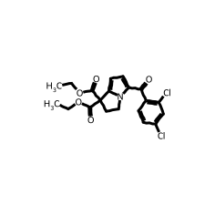 CCOC(=O)C1(C(=O)OCC)CCn2c(C(=O)c3ccc(Cl)cc3Cl)ccc21